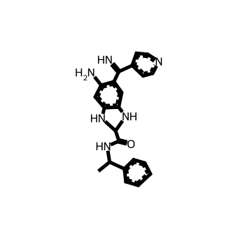 CC(NC(=O)C1Nc2cc(N)c(C(=N)c3ccncc3)cc2N1)c1ccccc1